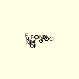 N/C(=N/CF)S[C@]1(CO)C[C@@H]1c1cc(NC(=O)c2ccc(Cl)cn2)ccc1F